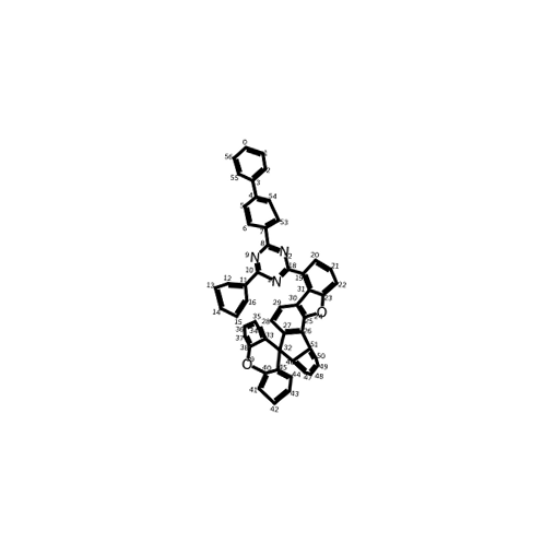 c1ccc(-c2ccc(-c3nc(-c4ccccc4)nc(-c4cccc5oc6c7c(ccc6c45)C4(c5ccccc5Oc5ccccc54)c4ccccc4-7)n3)cc2)cc1